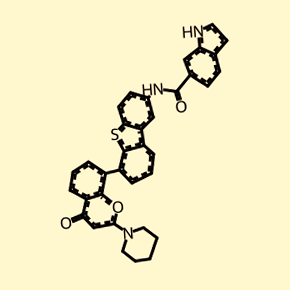 O=C(Nc1ccc2sc3c(-c4cccc5c(=O)cc(N6CCCCC6)oc45)cccc3c2c1)c1ccc2cc[nH]c2c1